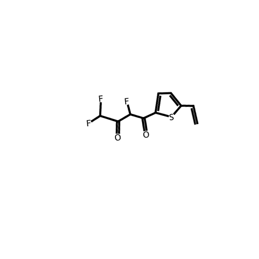 C=Cc1ccc(C(=O)C(F)C(=O)C(F)F)s1